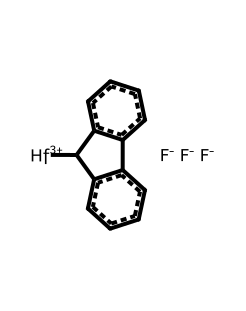 [F-].[F-].[F-].[Hf+3][CH]1c2ccccc2-c2ccccc21